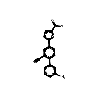 N#Cc1cc(-c2ccc(C(=O)O)s2)ccc1-c1cccc(N)c1